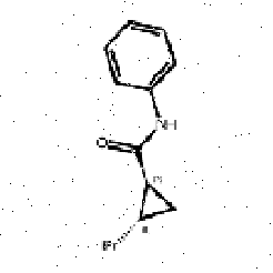 CC(C)[C@H]1C[C@@H]1C(=O)Nc1ccccc1